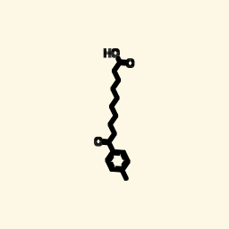 Cc1ccc(C(=O)CCCCCCCCC(=O)O)cc1